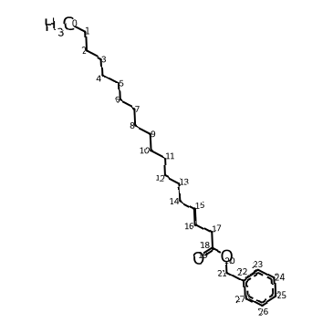 CCCCCCCCCCCCCCCCCCC(=O)OCc1ccccc1